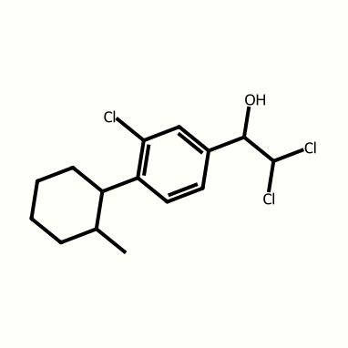 CC1CCCCC1c1ccc(C(O)C(Cl)Cl)cc1Cl